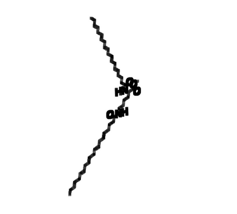 CCC=CCC=CCC=CCC=CCC=CCCCC(=O)NCCCCC(NC(=O)CCCC=CCC=CCC=CCC=CCC=CCC)C(=O)OC